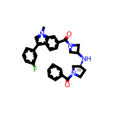 Cn1cc(-c2cccc(F)c2)c2ccc(C(=O)N3CC(N[C@H]4CCN(C(=O)c5ccccc5)C4)C3)cc21